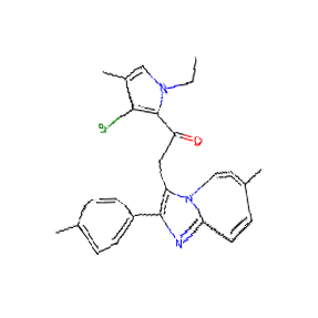 CCn1cc(C)c(Br)c1C(=O)Cc1c(-c2ccc(C)cc2)nc2ccc(C)cn12